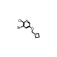 Clc1ncc(OCN2CCC2)cc1Br